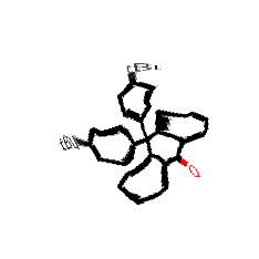 CC(C)(C)c1ccc(C2(c3ccc(C(C)(C)C)cc3)c3ccccc3C(=O)c3ccccc32)cc1